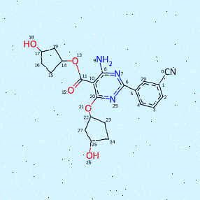 N#Cc1cccc(-c2nc(N)c(C(=O)OC3CCC(O)C3)c(OC3CCC(O)C3)n2)c1